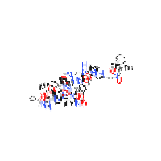 CCCCC(CC)(C1CCCCCCCC1)C1CC(=O)N(CCCCCC(N[C@H](C(=O)N[C@@H](CCCN2CCOCC2)C(=O)Nc2ccc(COC(=O)N(C)[C@H](C(=O)N[C@H](C(=O)N(C)[C@@H]([C@@H](C)CC)[C@@H](CC(=O)N3CCC[C@H]3[C@H](OC)[C@@H](C)C(=O)N[C@H](C)[C@@H](O)c3ccccc3)OC)C(C)C)C(C)C)cc2)C(C)C)C(F)(F)F)C1=O